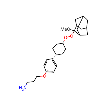 COC1(OO[C@H]2CC[C@@H](c3ccc(OCCCN)cc3)CC2)C2CC3CC(C2)CC1C3